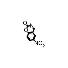 O=c1ncc2cc([N+](=O)[O-])ccc2o1